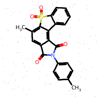 Cc1ccc(N2C(=O)c3cc(C)c4c(c3C2=O)-c2ccccc2S4(=O)=O)cc1